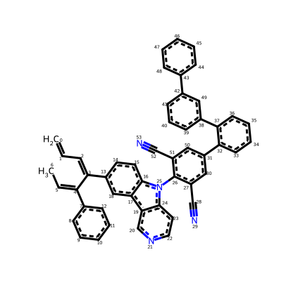 C=C/C=C(\C(=C/C)c1ccccc1)c1ccc2c(c1)c1cnccc1n2-c1c(C#N)cc(-c2ccccc2-c2cccc(-c3ccccc3)c2)cc1C#N